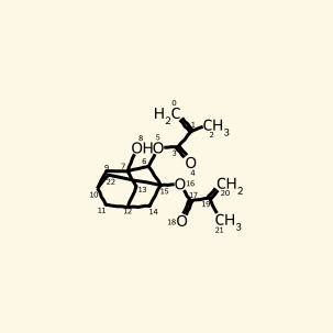 C=C(C)C(=O)OC1C2(O)CC3CC(C2)CC1(OC(=O)C(=C)C)C3